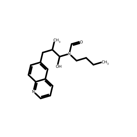 CCCCN(C=O)C(O)C(C)Cc1ccc2ncccc2c1